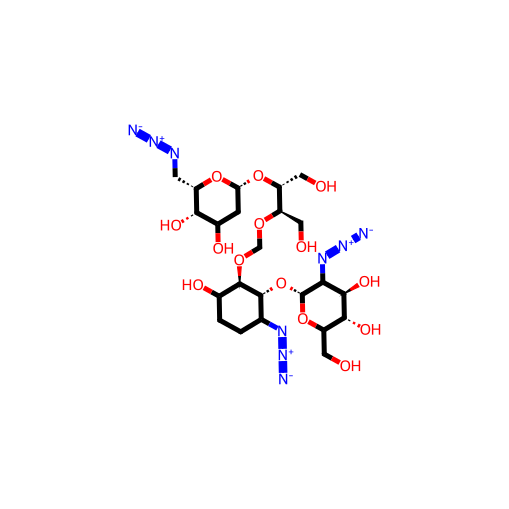 [N-]=[N+]=NC[C@@H]1O[C@H](O[C@H](CO)[C@@H](CO)OCO[C@@H]2C(O)CCC(N=[N+]=[N-])[C@H]2O[C@H]2OC(CO)[C@@H](O)[C@H](O)C2N=[N+]=[N-])CC(O)[C@@H]1O